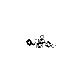 [O-][S+]1CCN(c2nc(Cl)nc3c(NCc4ccccc4)ncnc23)CC1